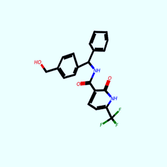 O=C(NC(c1ccccc1)c1ccc(CO)cc1)c1ccc(C(F)(F)F)[nH]c1=O